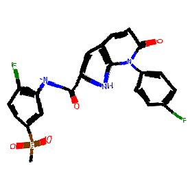 CS(=O)(=O)c1ccc(F)c(NC(=O)c2cc3ccc(=O)n(-c4ccc(F)cc4)c3[nH]2)c1